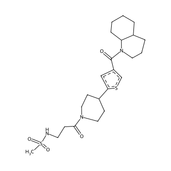 CS(=O)(=O)NCCC(=O)N1CCC(c2cc(C(=O)N3CCCC4CCCCC43)cs2)CC1